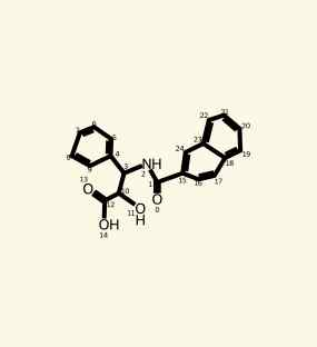 O=C(NC(c1ccccc1)C(O)C(=O)O)c1ccc2ccccc2c1